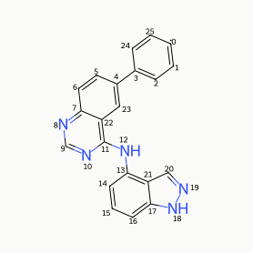 [c]1ccc(-c2ccc3ncnc(Nc4cccc5[nH]ncc45)c3c2)cc1